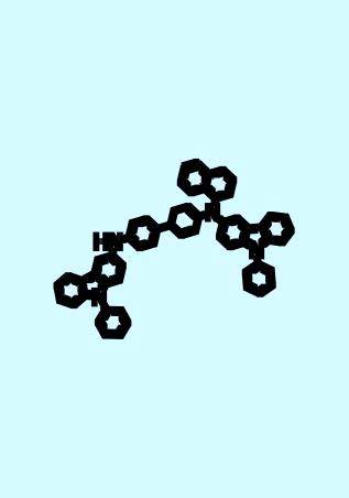 c1ccc2c(N(C3=CCC(c4ccc(Nc5ccc6c(c5)c5ccccc5n6-c5ccccc5)cc4)C=C3)c3ccc4c(c3)c3ccccc3n4-c3ccccc3)cccc2c#1